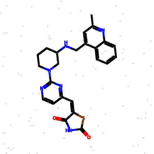 Cc1cc(CNC2CCCN(c3nccc(/C=C4/SC(=O)NC4=O)n3)C2)c2ccccc2n1